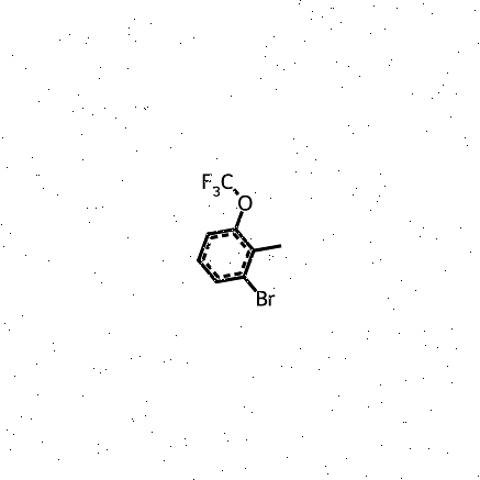 Cc1c(Br)cccc1OC(F)(F)F